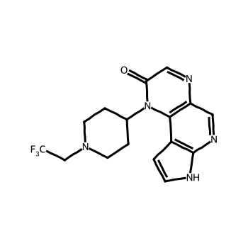 O=c1cnc2cnc3[nH]ccc3c2n1C1CCN(CC(F)(F)F)CC1